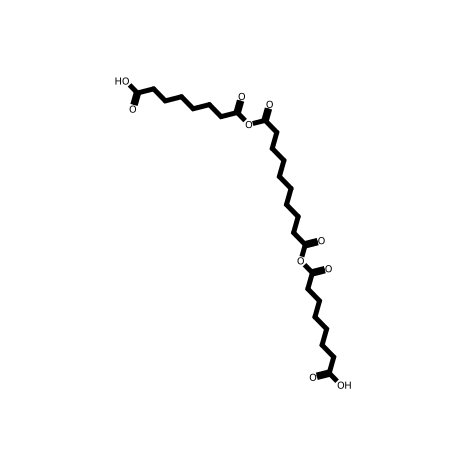 O=C(O)CCCCCCC(=O)OC(=O)CCCCCCCCC(=O)OC(=O)CCCCCCC(=O)O